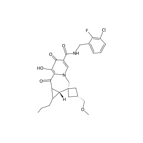 CCCC1C2C(=O)c3c(O)c(=O)c(C(=O)NCc4cccc(Cl)c4F)cn3C[C@]3(C[C@@H](COC)C3)[C@H]12